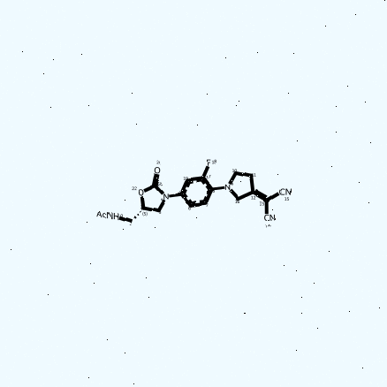 CC(=O)NC[C@H]1CN(c2ccc(N3CCC(=C(C#N)C#N)C3)c(F)c2)C(=O)O1